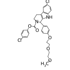 COCCOCCOc1ccc(C2c3[nH]c4ccc(Cl)cc4c3CCN2C(=O)Oc2ccc(Cl)cc2)cc1